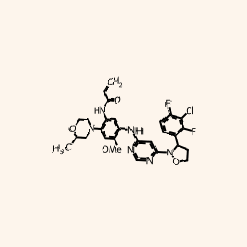 C=CC(=O)Nc1cc(Nc2cc(N3OCCC3c3ccc(F)c(Cl)c3F)ncn2)c(OC)cc1N1CCOC(C)C1